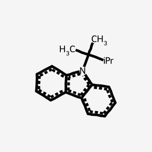 CC(C)C(C)(C)n1c2ccccc2c2ccccc21